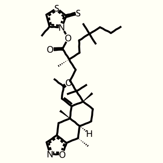 CCCC(C)(C)CC[C@@](C)(CCC(C)(C)[C@]1(C)CC[C@H]2[C@H](C)c3oncc3C[C@]2(C)/C1=C/C(C)=O)C(=O)On1c(C)csc1=S